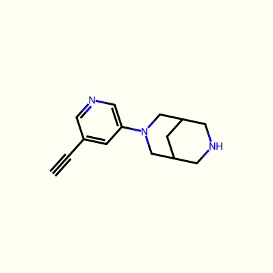 C#Cc1cncc(N2CC3CNCC(C3)C2)c1